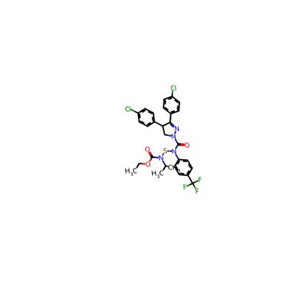 CCOC(=O)N(SN(C(=O)N1CC(c2ccc(Cl)cc2)C(c2ccc(Cl)cc2)=N1)c1ccc(C(F)(F)F)cc1)C(C)C